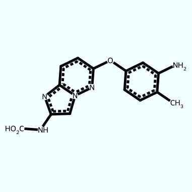 Cc1ccc(Oc2ccc3nc(NC(=O)O)cn3n2)cc1N